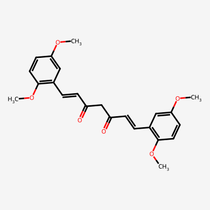 COc1ccc(OC)c(C=CC(=O)CC(=O)C=Cc2cc(OC)ccc2OC)c1